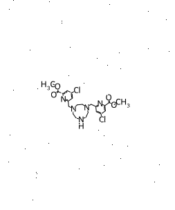 COC(=O)c1cc(Cl)cc(CN2CCNCCN(Cc3cc(Cl)cc(C(=O)OC)n3)CC2)n1